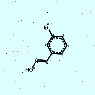 CCc1cc[c]c(C=NO)c1